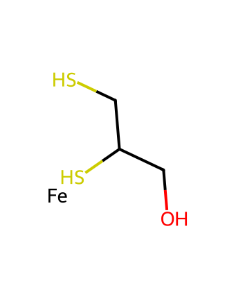 OCC(S)CS.[Fe]